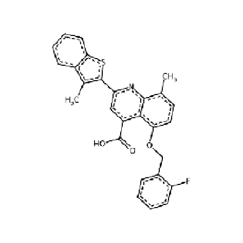 Cc1c(-c2cc(C(=O)O)c3c(OCc4ccccc4F)ccc(C)c3n2)sc2ccccc12